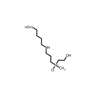 CCCCCCCCCCCCNCCC[N+](C)([O-])CCO